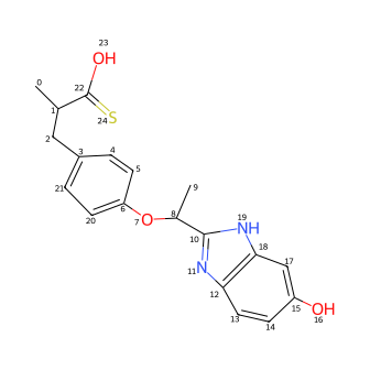 CC(Cc1ccc(OC(C)c2nc3ccc(O)cc3[nH]2)cc1)C(O)=S